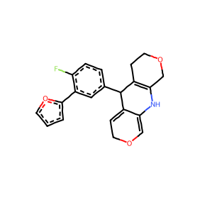 Fc1ccc(C2C3=CCOC=C3NC3=C2CCOC3)cc1-c1ccco1